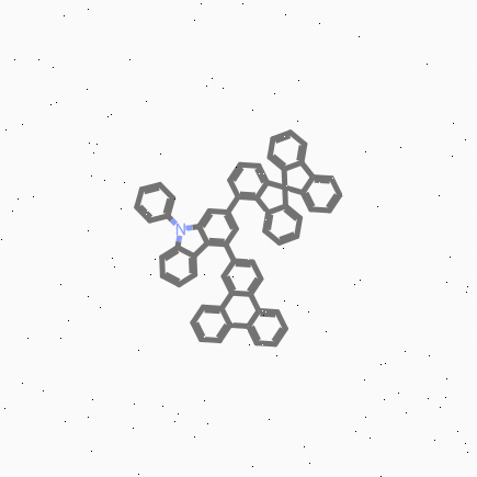 c1ccc(-n2c3ccccc3c3c(-c4ccc5c6ccccc6c6ccccc6c5c4)cc(-c4cccc5c4-c4ccccc4C54c5ccccc5-c5ccccc54)cc32)cc1